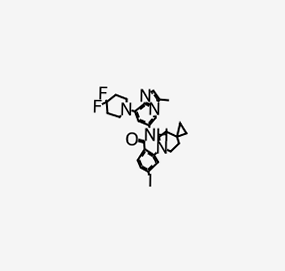 Cc1cnc2c(N3CCC(F)(F)CC3)cc(NC(=O)c3ccc(I)cc3N3CCC4(CC3)CC4)cn12